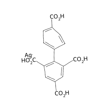 O=C(O)c1ccc(-c2c(C(=O)O)cc(C(=O)O)cc2C(=O)O)cc1.[Ag]